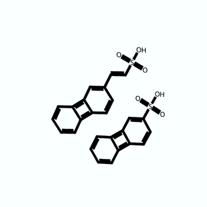 O=S(=O)(O)C=Cc1ccc2c(c1)=c1ccccc1=2.O=S(=O)(O)c1ccc2c(c1)=c1ccccc1=2